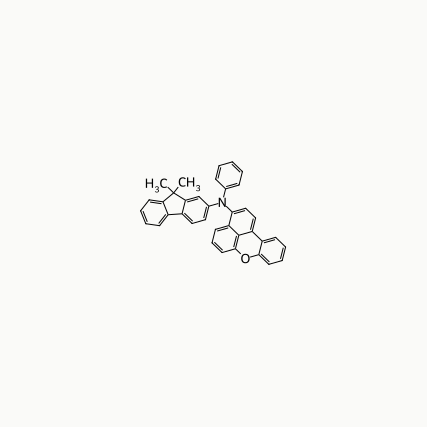 CC1(C)c2ccccc2-c2ccc(N(c3ccccc3)c3ccc4c5c(cccc35)Oc3ccccc3-4)cc21